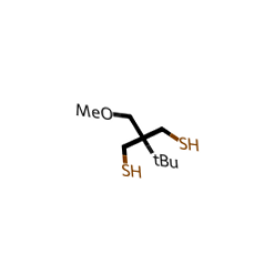 COCC(CS)(CS)C(C)(C)C